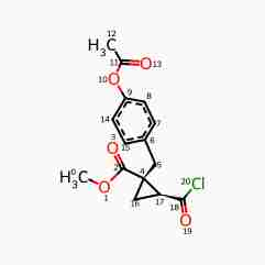 COC(=O)[C@@]1(Cc2ccc(OC(C)=O)cc2)C[C@@H]1C(=O)Cl